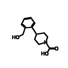 O=C(O)N1CCC(c2ccccc2CO)CC1